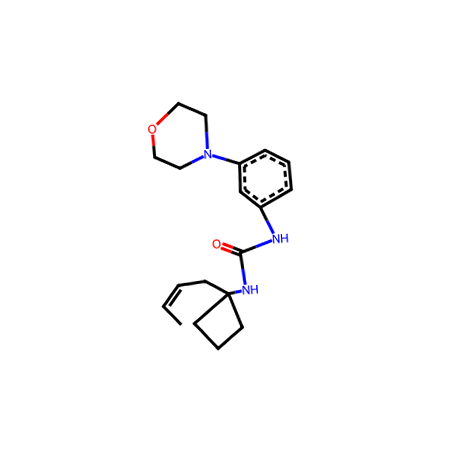 C/C=C\CC1(NC(=O)Nc2cccc(N3CCOCC3)c2)CCC1